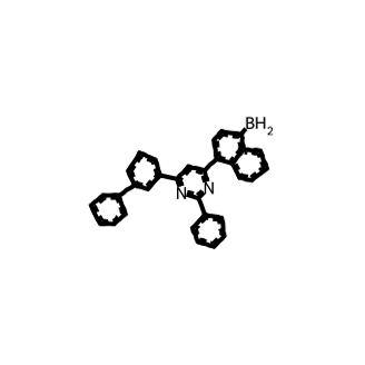 Bc1ccc(-c2cc(-c3cccc(-c4ccccc4)c3)nc(-c3ccccc3)n2)c2ccccc12